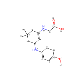 COC1=CC=C(NC2C=C(NCC(=O)O)CC(C)(C)C2)CC1